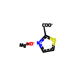 O=C([O-])c1nccs1.[Mg+2].[OH-]